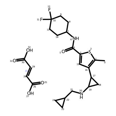 Cc1sc(C(=O)NC2CCC(F)(F)CC2)cc1C1CC1NCC1CC1.O=C(O)/C=C/C(=O)O